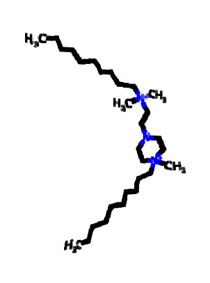 CCCCCCCCCC[N+](C)(C)CCN1CC[N+](C)(CCCCCCCCCC)CC1